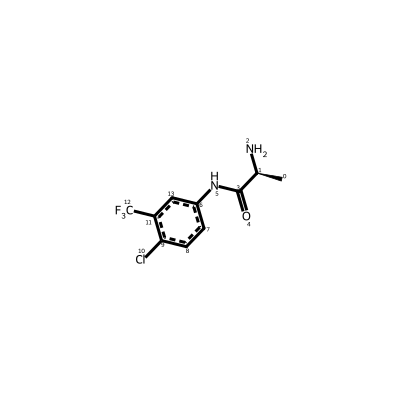 C[C@H](N)C(=O)Nc1ccc(Cl)c(C(F)(F)F)c1